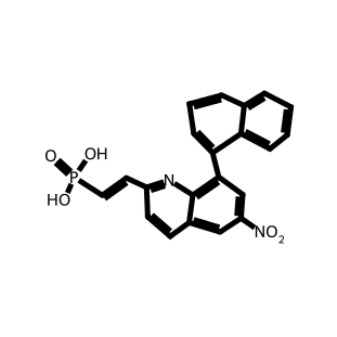 O=[N+]([O-])c1cc(-c2cccc3ccccc23)c2nc(/C=C/P(=O)(O)O)ccc2c1